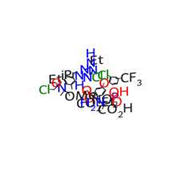 CCNc1nc(Cl)nc(NC(C)C)n1.CCOC(=O)C(C)OC(=O)c1cc(Oc2ccc(C(F)(F)F)cc2Cl)ccc1[N+](=O)[O-].CCc1cccc(C)c1N(C(=O)CCl)C(C)COC.CP(=O)(O)CCC(N)C(=O)O